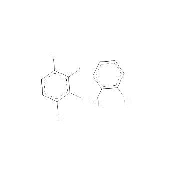 Sc1ccc(Cl)c(Cl)c1Cl.Sc1ccccc1Cl